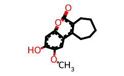 COc1cc2c3c(c(=O)oc2cc1O)CCCCC3